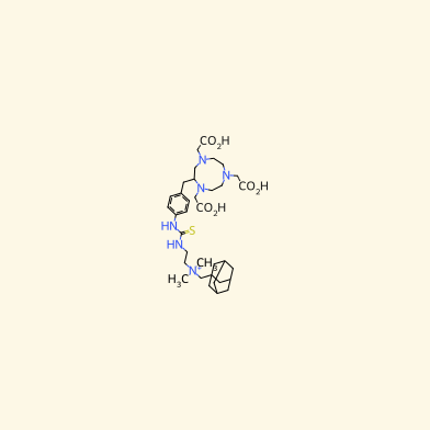 C[N+](C)(CCNC(=S)Nc1ccc(CC2CN(CC(=O)O)CCN(CC(=O)O)CCN2CC(=O)O)cc1)CC12CC3CC(CC(C3)C1)C2